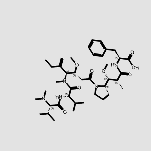 C=C(CC)[C@@H]([C@@H](CC(=O)N1CCC[C@H]1[C@H](OC)[C@@H](C)C(=O)N[C@@H](Cc1ccccc1)C(=O)O)OC)N(C)C(=O)[C@@H](NC(=O)[C@H](C(C)C)N(C)C)C(C)C